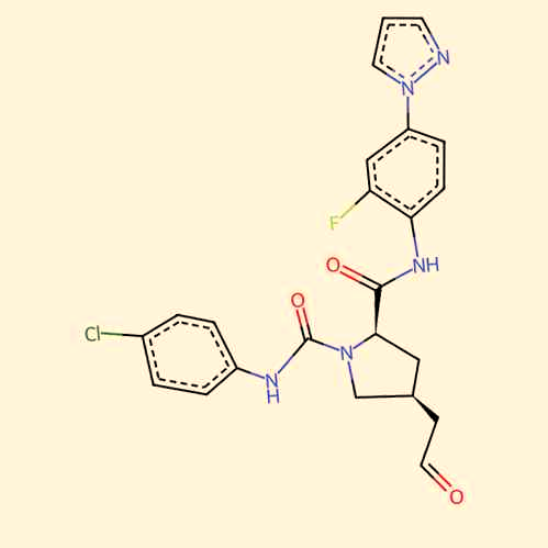 O=CC[C@@H]1C[C@H](C(=O)Nc2ccc(-n3cccn3)cc2F)N(C(=O)Nc2ccc(Cl)cc2)C1